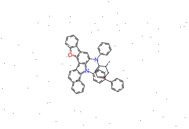 CC1CC=CC=C1N(c1ccccc1)c1cc2c3ccccc3oc2c2c3ccc4ccccc4c3n(-c3ccc(-c4ccccc4)cc3)c12